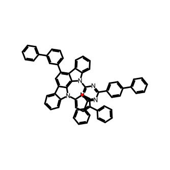 c1ccc(-c2ccc(-c3nc(-c4ccccc4)nc(-n4c5ccccc5c5c(-c6cccc(-c7ccccc7)c6)cc6c7ccccc7n(-c7ccc(-c8ccccc8)cc7)c6c54)n3)cc2)cc1